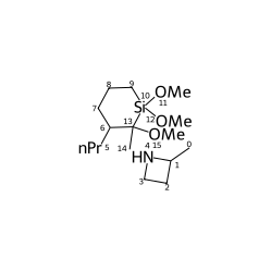 CC1CCN1.CCCC1CCC[Si](OC)(OC)C1(C)OC